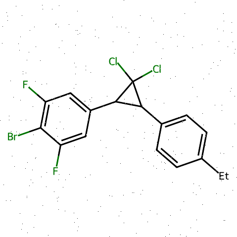 CCc1ccc(C2C(c3cc(F)c(Br)c(F)c3)C2(Cl)Cl)cc1